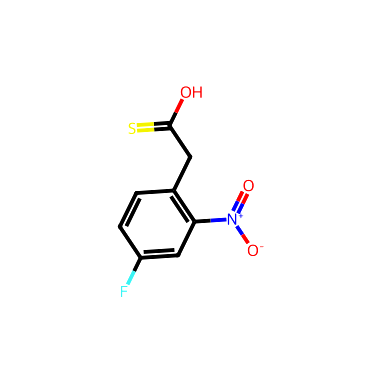 O=[N+]([O-])c1cc(F)ccc1CC(O)=S